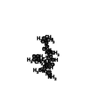 C=C1S[C@@H]2[C@H](NC(=O)/C(=N\OC)c3csc(N)n3)C(=O)N2C(C(=O)O)=C1CSc1nc(C(=O)OCOC(=O)C(C)(C)C)nn1C.CC(C)(C)C(=O)O